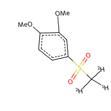 [1H]C([2H])([2H])S(=O)(=O)c1ccc(OC)c(OC)c1